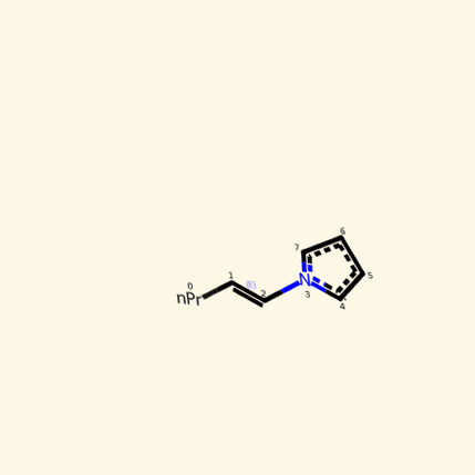 CCC/C=C/n1[c]ccc1